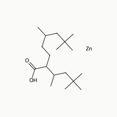 CC(CCC(C(=O)O)C(C)CC(C)(C)C)CC(C)(C)C.[Zn]